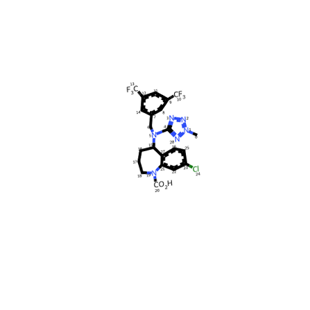 Cn1nnc(N(Cc2cc(C(F)(F)F)cc(C(F)(F)F)c2)C2CCCN(C(=O)O)c3cc(Cl)ccc32)n1